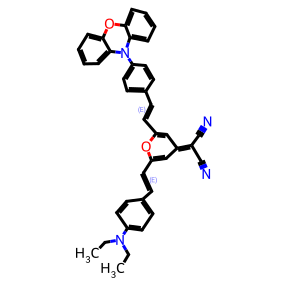 CCN(CC)c1ccc(/C=C/C2=CC(=C(C#N)C#N)C=C(/C=C/c3ccc(N4c5ccccc5Oc5ccccc54)cc3)O2)cc1